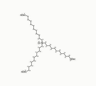 CCCCCCCCCCCCCCCCCCCCC[Si]([O])(CCCCCCCCCCCCCCCCCCCCC)CCCCCCCCCCCCCCCCCCCCC